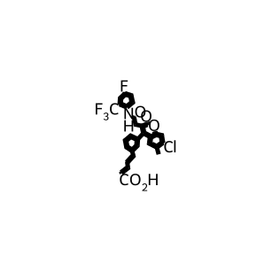 Cc1cc2c(-c3cccc(C=CC=CC(=O)O)c3)c(CC(=O)Nc3ccc(F)cc3C(F)(F)F)c(=O)oc2cc1Cl